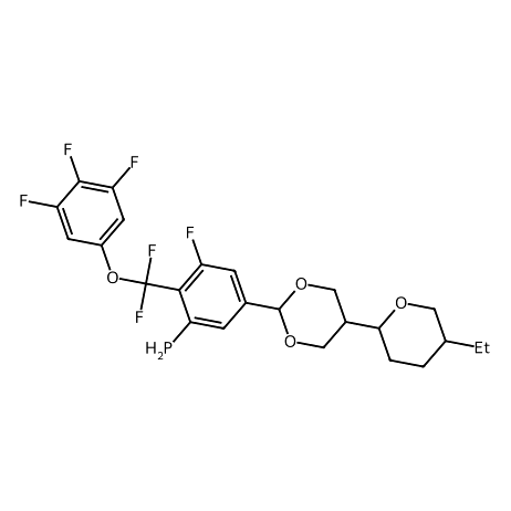 CCC1CCC(C2COC(c3cc(F)c(C(F)(F)Oc4cc(F)c(F)c(F)c4)c(P)c3)OC2)OC1